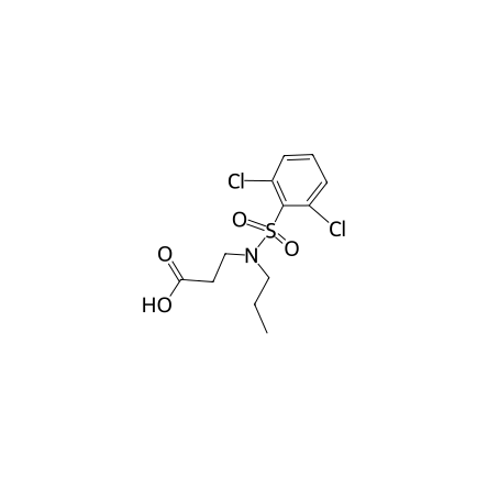 CCCN(CCC(=O)O)S(=O)(=O)c1c(Cl)cccc1Cl